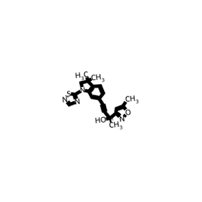 Cc1cc([C@](C)(O)C#Cc2ccc3c(c2)N(c2ncns2)CC3(C)C)no1